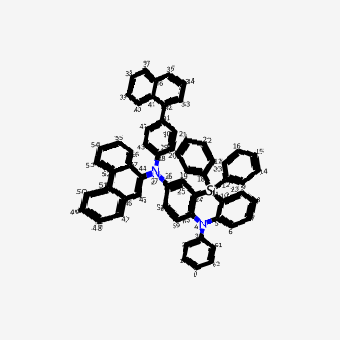 c1ccc(N2c3ccccc3[Si](c3ccccc3)(c3ccccc3)c3cc(N(c4ccc(-c5cccc6ccccc56)cc4)c4cc5ccccc5c5ccccc45)ccc32)cc1